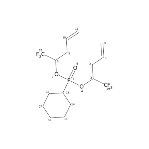 C=CCC(OP(=O)(OC(CC=C)C(F)(F)F)C1CCCCC1)C(F)(F)F